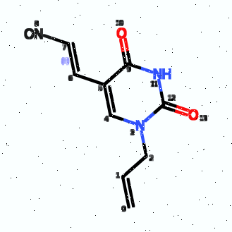 C=CCn1cc(/C=C/N=O)c(=O)[nH]c1=O